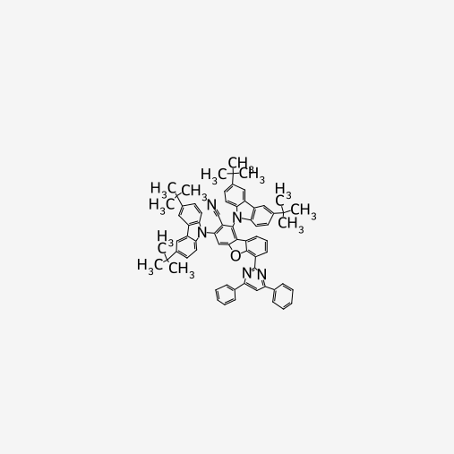 CC(C)(C)c1ccc2c(c1)c1cc(C(C)(C)C)ccc1n2-c1cc2oc3c(-c4nc(-c5ccccc5)cc(-c5ccccc5)n4)cccc3c2c(-n2c3ccc(C(C)(C)C)cc3c3cc(C(C)(C)C)ccc32)c1C#N